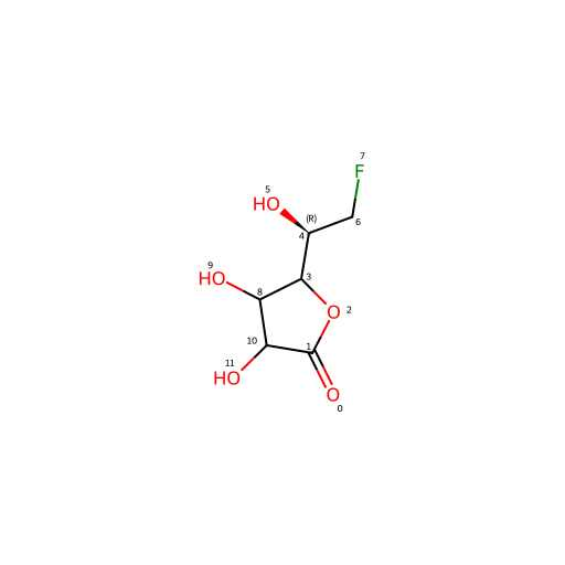 O=C1OC([C@@H](O)CF)C(O)C1O